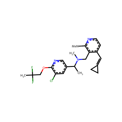 CNc1nccc(C=C2CC2)c1CN(C)C(C)c1cnc(OCC(C)(F)F)c(Cl)c1